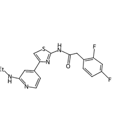 CCNc1cc(-c2csc(NC(=O)Cc3ccc(F)cc3F)n2)ccn1